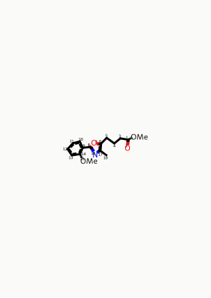 COC(=O)CCCc1oc(-c2ccccc2OC)nc1C